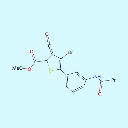 COOC(=O)C1SC(c2cccc(NC(=O)C(C)C)c2)=C(Br)C1=C=O